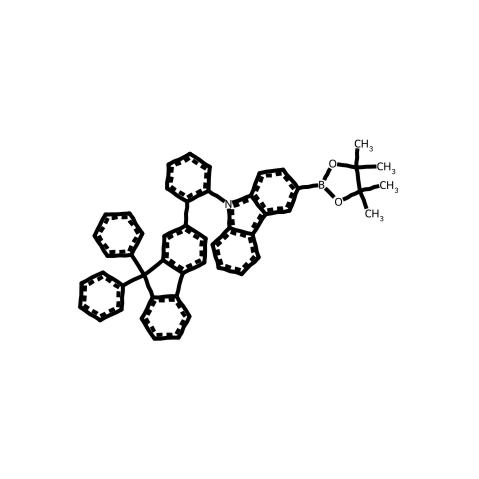 CC1(C)OB(c2ccc3c(c2)c2ccccc2n3-c2ccccc2-c2ccc3c(c2)C(c2ccccc2)(c2ccccc2)c2ccccc2-3)OC1(C)C